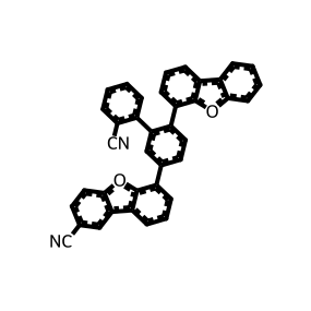 N#Cc1ccc2oc3c(-c4ccc(-c5cccc6c5oc5ccccc56)c(-c5ccccc5C#N)c4)cccc3c2c1